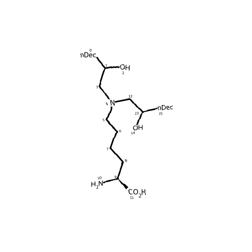 CCCCCCCCCCC(O)CN(CCCC[C@H](N)C(=O)O)CC(O)CCCCCCCCCC